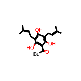 CCC(C)C(=O)c1c(O)c(CC=C(C)C)c(O)c(CC=C(C)C)c1O